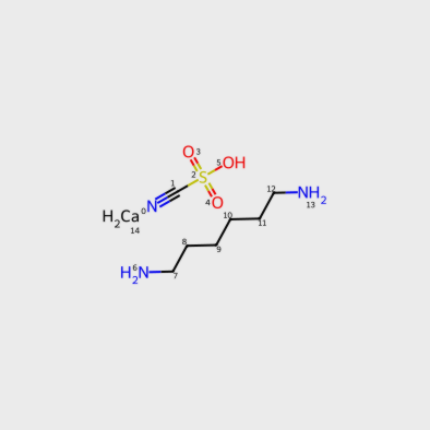 N#CS(=O)(=O)O.NCCCCCCN.[CaH2]